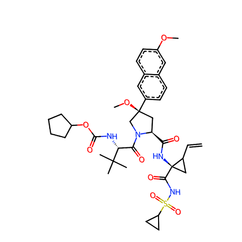 C=CC1C[C@]1(NC(=O)[C@@H]1C[C@@](OC)(c2ccc3cc(OC)ccc3c2)CN1C(=O)[C@@H](NC(=O)OC1CCCC1)C(C)(C)C)C(=O)NS(=O)(=O)C1CC1